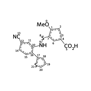 COc1ccc(C(=O)O)cc1SNc1cc(C#N)ccc1-c1cccs1